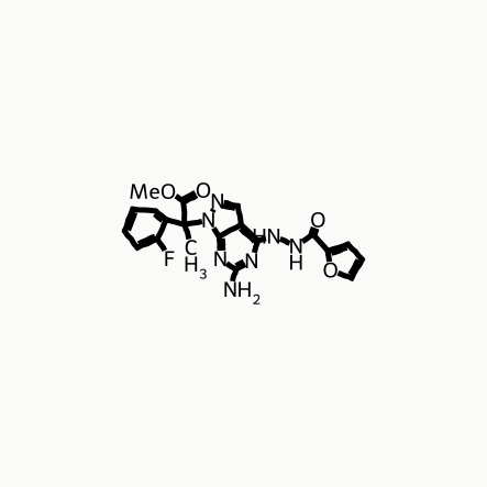 COC(=O)C(C)(c1ccccc1F)n1ncc2c(NNC(=O)c3ccco3)nc(N)nc21